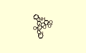 O=C1C2Cc3c([nH]c4ccccc34)C(c3ccc4c(c3)OCO4)N2C(=O)CN1Cc1ccccn1